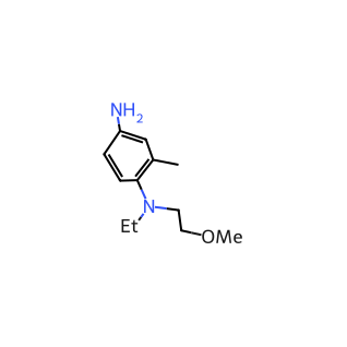 CCN(CCOC)c1ccc(N)cc1C